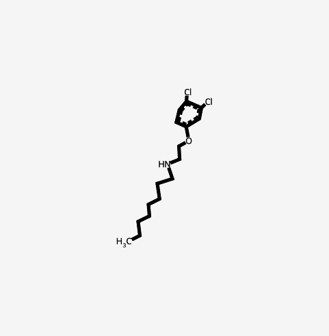 CCCCCCCCNCCOc1ccc(Cl)c(Cl)c1